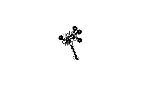 COC(=O)CCCCCCCCO[C@H]1O[C@@H]2COC(c3ccccc3)O[C@H]2[C@H](O)[C@H]1O[C@H]1O[C@H](C(O)I)[C@@H](OCc2ccccc2)[C@H](OCc2ccccc2)[C@H]1OCc1ccccc1